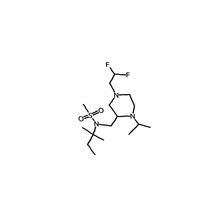 CCC(C)(C)N(CC1CN(CC(F)F)CCN1C(C)C)S(C)(=O)=O